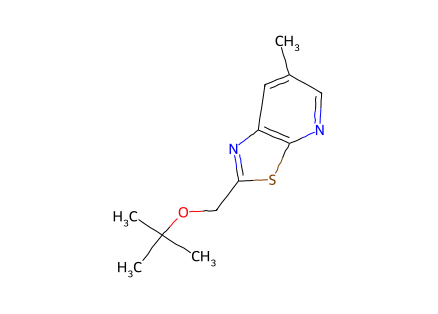 Cc1cnc2sc(COC(C)(C)C)nc2c1